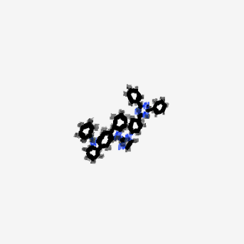 c1ccc(-c2nc(-c3ccccc3)nc(-c3ccc(-n4ccnc4-n4c5ccccc5c5cc6c(cc54)c4ccccc4n6-c4ccccc4)cc3)n2)cc1